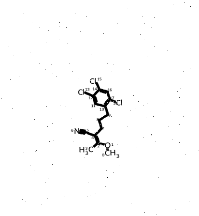 CO/C(C)=C(/C#N)CCCc1cc(Cl)c(Cl)cc1Cl